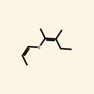 C/C=C\S/C(C)=C(/C)CC